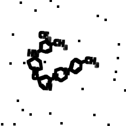 Cc1ccc(N2CCN(c3cc(ON4CCC(Nc5ccc(C)c(C(F)(F)F)c5)CC4)ccn3)CC2)cc1